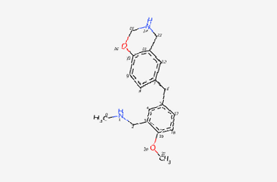 CNCc1cc(Cc2ccc3c(c2)CNCO3)ccc1OC